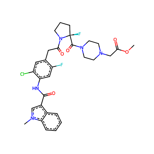 COC(=O)CN1CCN(C(=O)[C@@]2(F)CCCN2C(=O)Cc2cc(Cl)c(NC(=O)c3cn(C)c4ccccc34)cc2F)CC1